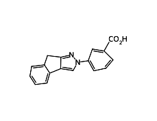 O=C(O)c1cccc(-n2cc3c(n2)Cc2ccccc2-3)c1